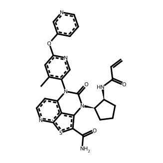 C=CC(=O)N[C@H]1CCC[C@H]1N1C(=O)N(c2cnc(Oc3cccnc3)cc2C)c2ccnc3sc(C(N)=O)c1c23